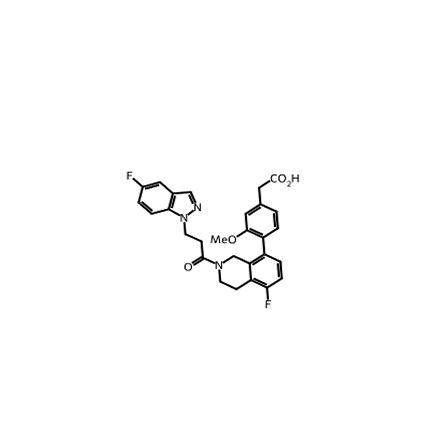 COc1cc(CC(=O)O)ccc1-c1ccc(F)c2c1CN(C(=O)CCn1ncc3cc(F)ccc31)CC2